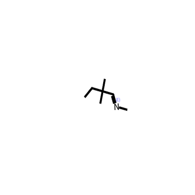 CCC(C)(C)/C=N/C